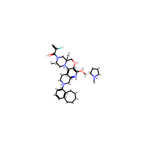 C=C(F)C(=O)N1C[C@@H]2COc3c(OC[C@@H]4CCCN4C)nc4c(c3N2C[C@H]1C)CCN(c1cccc2c1CCCCC2)C4